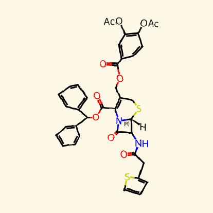 CC(=O)Oc1ccc(C(=O)OCC2=C(C(=O)OC(c3ccccc3)c3ccccc3)N3C(=O)C(NC(=O)Cc4cccs4)[C@H]3SC2)cc1OC(C)=O